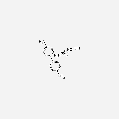 Cl.Cl.Cl.Cl.N.N.Nc1ccc(-c2ccc(N)cc2)cc1